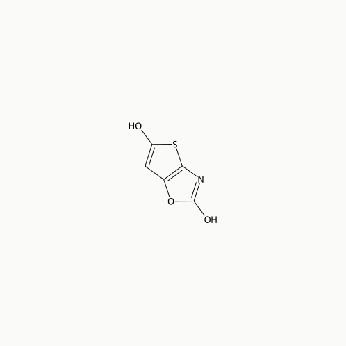 Oc1nc2sc(O)cc2o1